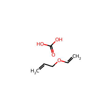 C=CCOC=C.O=C(O)O